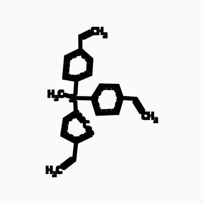 C=Cc1ccc([Si](C)(c2ccc(C=C)cc2)c2ccc(C=C)cc2)cc1